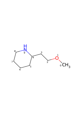 COCCC1CCCCN1